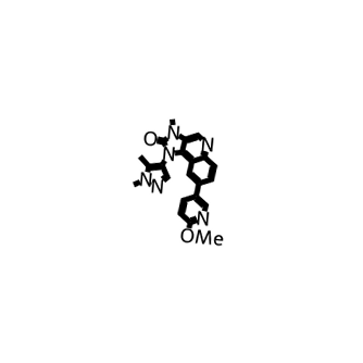 COc1ccc(-c2ccc3ncc4c(c3c2)n(-c2cnn(C)c2C)c(=O)n4C)cn1